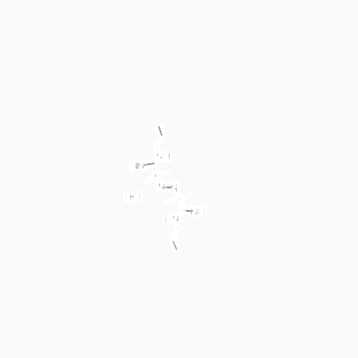 C=CCNC(=N)C(C)(C)N=NC(C)(C)C(=N)NCC=C.Cl